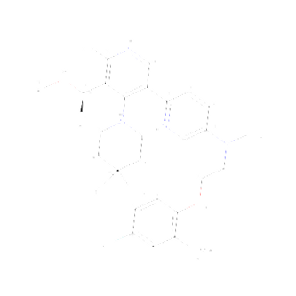 COc1cc(F)ccc1OCCN(C)c1ccc(-c2cnc(C)c([C@H](OC(C)(C)C)C(=O)O)c2N2CCC(C)(C)CC2)nc1